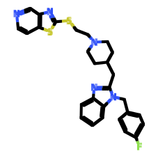 Fc1ccc(Cn2c(CC3CCN(CCSc4nc5cnccc5s4)CC3)nc3ccccc32)cc1